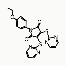 CCOc1ccc(N2C(=O)C(Sc3ncccn3)=C(Sc3ncccn3)C2=O)cc1